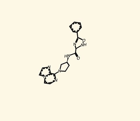 O=C(N[C@H]1CCN(c2nccn3ccnc23)C1)C1N=C(c2ccccc2)ON1